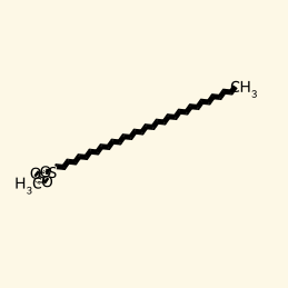 CCCCCCCCCCCCCCCCCCCCCCCCCCCCCCCCCSOS(C)(=O)=O